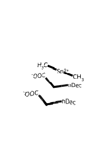 CCCCCCCCCCCC(=O)[O-].CCCCCCCCCCCC(=O)[O-].[CH3][Sn+2][CH3]